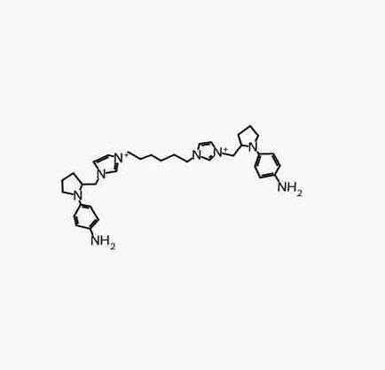 Nc1ccc(N2CCCC2Cn2cc[n+](CCCCCCn3cc[n+](CC4CCCN4c4ccc(N)cc4)c3)c2)cc1